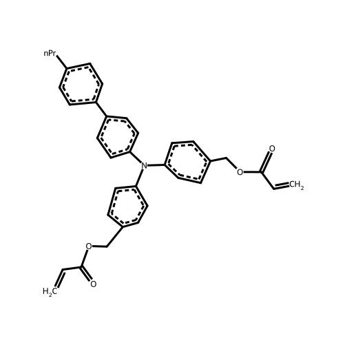 C=CC(=O)OCc1ccc(N(c2ccc(COC(=O)C=C)cc2)c2ccc(-c3ccc(CCC)cc3)cc2)cc1